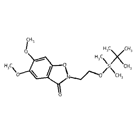 COc1cc2on(CCO[Si](C)(C)C(C)(C)C)c(=O)c2cc1OC